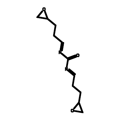 O=C(N=CCCC1CO1)N=CCCC1CO1